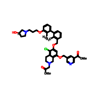 COC(=O)CN1CCc2c(Cl)c(OCc3cccc(-c4cccc(OCCCN5CC[C@@H](O)C5)c4C)c3C)cc(OCc3cncc(C(=O)OC)c3)c2C1